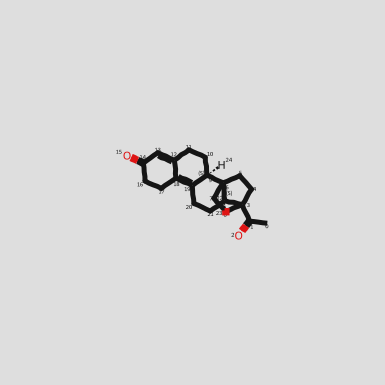 CC(=O)C12CCC3(CC1)[C@@H]1CCC4=CC(=O)CCC4=C1CC[C@]23C